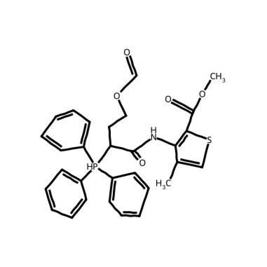 COC(=O)c1scc(C)c1NC(=O)C(CCOC=O)[PH](c1ccccc1)(c1ccccc1)c1ccccc1